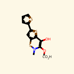 CN1Sc2cc(-c3cccs3)sc2C(O)=C1OC(=O)O